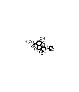 COC(=O)C1C[C@H](O)C(=O)C2[C@@]1(C)CC[C@@H]1C(=O)O[C@H](c3ccoc3)C[C@]21C